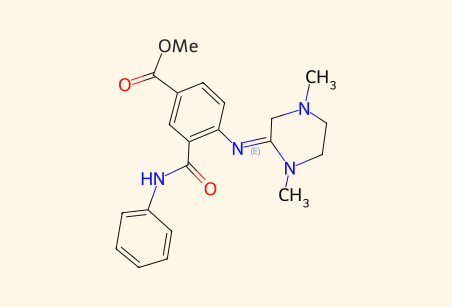 COC(=O)c1ccc(/N=C2\CN(C)CCN2C)c(C(=O)Nc2ccccc2)c1